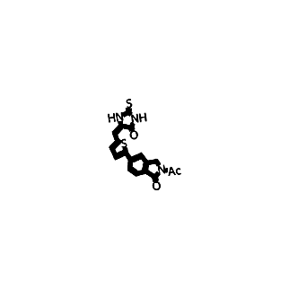 CC(=O)N1Cc2cc(-c3ccc(C=C4NC(=S)NC4=O)s3)ccc2C1=O